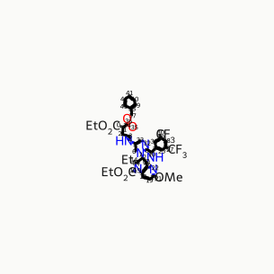 CCOC(=O)C(CCNc1cnc(C(N[C@H]2C[C@@H](CC)N(C(=O)OCC)c3ccc(OC)nc32)c2cc(C(F)(F)F)cc(C(F)(F)F)c2)nc1)C(=O)OCc1ccccc1